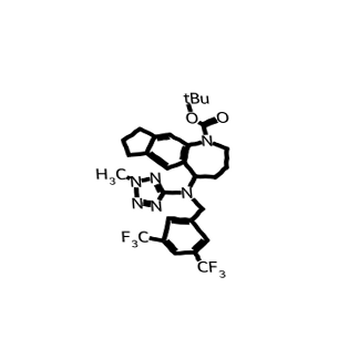 Cn1nnc(N(Cc2cc(C(F)(F)F)cc(C(F)(F)F)c2)C2CCCN(C(=O)OC(C)(C)C)c3cc4c(cc32)CCC4)n1